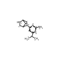 CC(C)c1cc(N2CC3CC2CN3)nc(N)n1